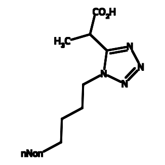 CCCCCCCCCCCCCn1nnnc1C(C)C(=O)O